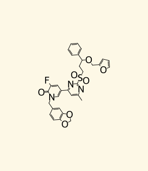 Cc1cc(-c2cc(F)c(=O)n(Cc3ccc4c(c3)OCO4)c2)nc(S(=O)(=O)CCC(OCc2ccco2)c2ccccc2)n1